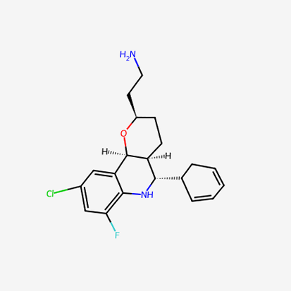 NCC[C@H]1CC[C@@H]2[C@H](O1)c1cc(Cl)cc(F)c1N[C@H]2C1C=CC=CC1